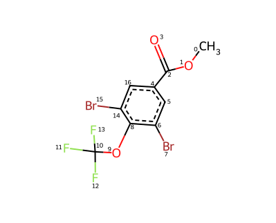 COC(=O)c1cc(Br)c(OC(F)(F)F)c(Br)c1